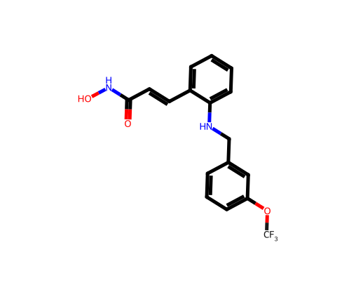 O=C(/C=C/c1ccccc1NCc1cccc(OC(F)(F)F)c1)NO